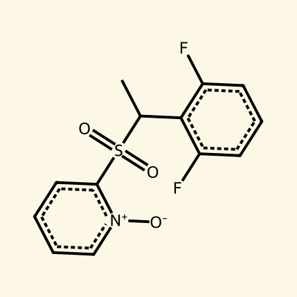 CC(c1c(F)cccc1F)S(=O)(=O)c1cccc[n+]1[O-]